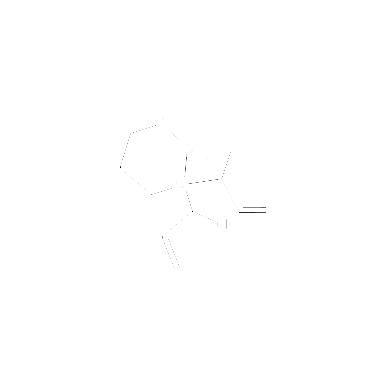 C=CC(Cl)[Si]1(C(Cl)C=C)CCCO[SiH2]1